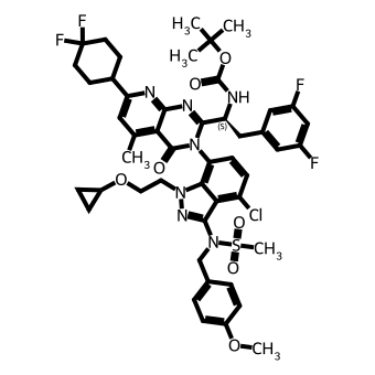 COc1ccc(CN(c2nn(CCOC3CC3)c3c(-n4c([C@H](Cc5cc(F)cc(F)c5)NC(=O)OC(C)(C)C)nc5nc(C6CCC(F)(F)CC6)cc(C)c5c4=O)ccc(Cl)c23)S(C)(=O)=O)cc1